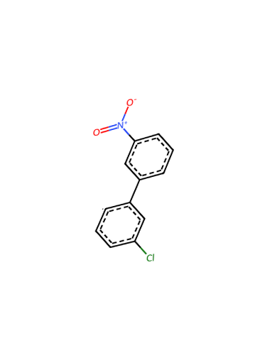 O=[N+]([O-])c1cccc(-c2[c]ccc(Cl)c2)c1